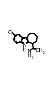 C=C(N)C1CCCCc2c1[nH]c1ccc(Cl)cc21